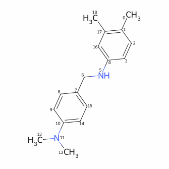 Cc1ccc(NCc2ccc(N(C)C)cc2)cc1C